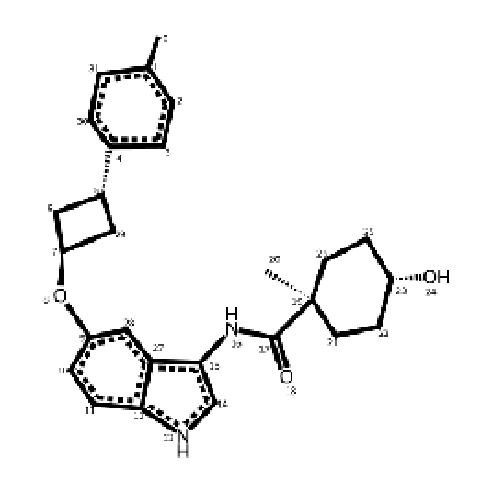 Cc1ccc([C@H]2C[C@H](Oc3ccc4[nH]cc(NC(=O)[C@]5(C)CC[C@@H](O)CC5)c4c3)C2)cc1